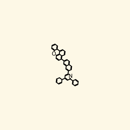 C1=CCC(c2cc(-c3ccccc3)nc(-c3ccc4ccc(-c5ccc6c7c(cccc57)-c5ccccc5O6)cc4c3)c2)C=C1